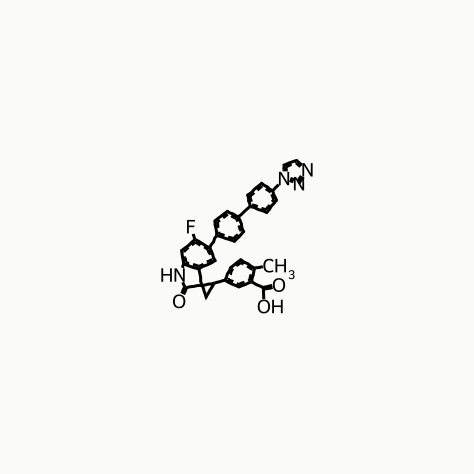 Cc1ccc(C2CC23C(=O)Nc2cc(F)c(-c4ccc(-c5ccc(-n6ccnn6)cc5)cc4)cc23)cc1C(=O)O